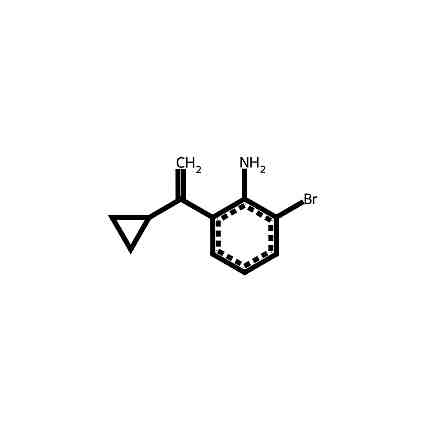 C=C(c1cccc(Br)c1N)C1CC1